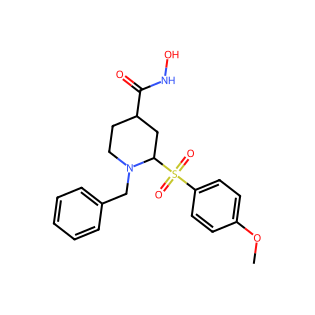 COc1ccc(S(=O)(=O)C2CC(C(=O)NO)CCN2Cc2ccccc2)cc1